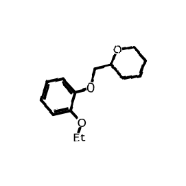 CCOc1ccccc1OCC1CCCCO1